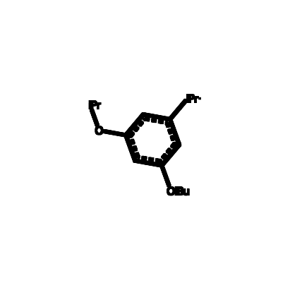 C[C](C)c1cc(OCC(C)C)cc(OC(C)C)c1